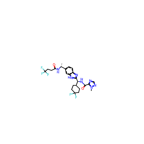 C[C@@H](NC(=O)CCC(F)(F)F)c1ccc2nc([C@@H](NC(=O)c3ncnn3C)C3CCC(F)(F)CC3)[nH]c2c1